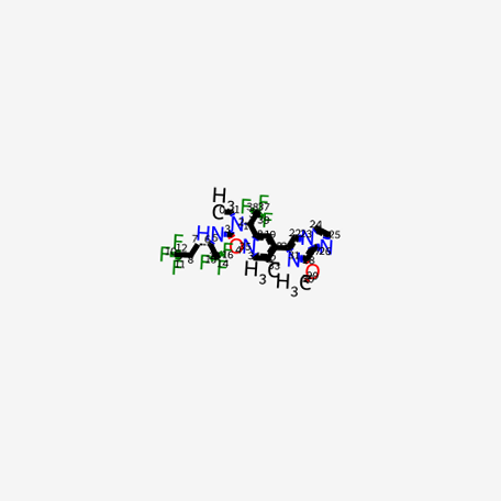 CCN(C(=O)N[C@@H](CCC(F)(F)F)C(F)(F)F)[C@@H](c1cc(-c2cn3ccnc3c(OC)n2)c(C)cn1)C(F)(F)F